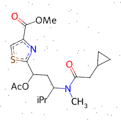 COC(=O)c1csc(C(CC(C(C)C)N(C)C(=O)CC2CC2)OC(C)=O)n1